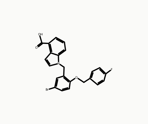 O=C(O)c1cccc2c1ccn2Cc1cc(Br)ccc1OCc1ccc(F)cc1